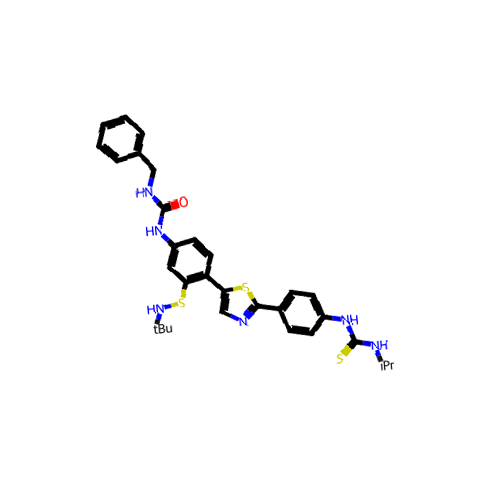 CC(C)NC(=S)Nc1ccc(-c2ncc(-c3ccc(NC(=O)NCc4ccccc4)cc3SNC(C)(C)C)s2)cc1